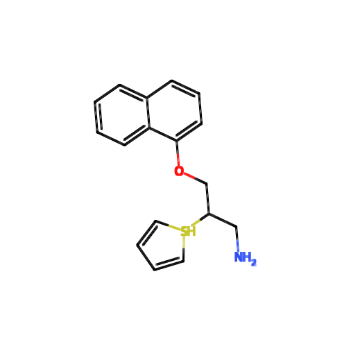 NCC(COc1cccc2ccccc12)[SH]1C=CC=C1